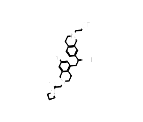 CC(C)c1cc(CC(C)c2ccc3c(c2)CN(CCC(F)(F)F)CC3)c2c(c1)CN(CC(=O)N1CCC1)CC2